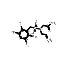 C=CCN(CC(N)=S)S(=O)(=O)Cc1c(F)c(F)cc(F)c1F